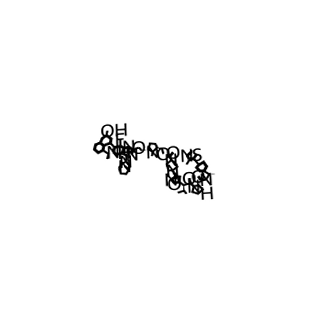 CCc1cccc2cc(O)cc(-c3ncc4c(N5CC6CCC(C5)N6)nc(OC[C@@H]5CC[C@@H](COC(=O)N6CCN(c7cc([C@@H](C(=O)N8CCC[C@H]8C(=O)N[C@@H](C)c8ccc(-c9scnc9C)cc8)C(C)C)on7)CC6)N5C)nc4c3F)c12